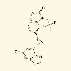 O=c1ccc2ccc([C@H]3C[C@@H]3c3cc(Cl)nn4ccnc34)cc2n1CC(F)(F)F